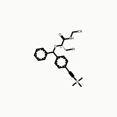 CC(C)C[C@H](OC(c1ccccc1)c1ccc(C#C[Si](C)(C)C)cc1)C(=O)NCC#N